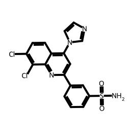 NS(=O)(=O)c1cccc(-c2cc(-n3ccnc3)c3ccc(Cl)c(Cl)c3n2)c1